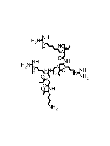 CCC(=O)N(CC(=O)N[C@@H](CCCCNC(=N)N)CN(CC(=O)N[C@@H](CCCCNC(=N)N)CN(CC(=O)N[C@@H](CCCCN)C(C)=O)C(=O)CC)C(=O)CC)C[C@@H](N)CCCCNC(=N)N